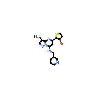 Cc1cnn2c(NCc3cccnc3)cc(-c3sccc3Br)nc12